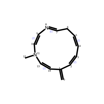 C=C1/C=C\C=C/C/C=N/C=C\N(C)/C=C\1